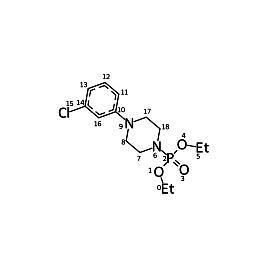 CCOP(=O)(OCC)N1CCN(c2cccc(Cl)c2)CC1